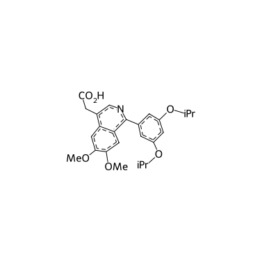 COc1cc2c(CC(=O)O)cnc(-c3cc(OC(C)C)cc(OC(C)C)c3)c2cc1OC